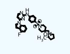 C[C@H]1CCCN1CC1(O)CCN(S(=O)(=O)c2ccc(Nc3nccc(-n4ccc5c(F)cccc54)n3)cc2)CC1